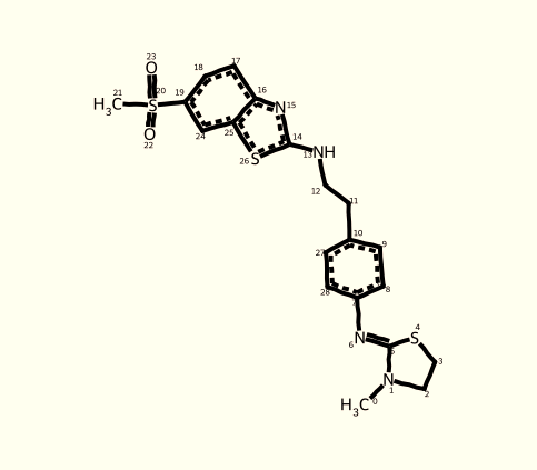 CN1CCS/C1=N\c1ccc(CCNc2nc3ccc(S(C)(=O)=O)cc3s2)cc1